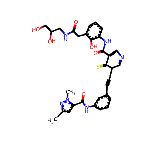 Cc1cc(C(=O)Nc2cccc(C#CC3C=NC=C(C(=O)Nc4cccc(CC(=O)NCC(O)CO)c4O)C3=S)c2)n(C)n1